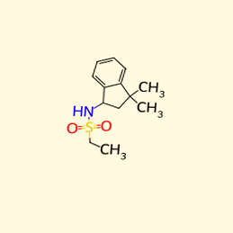 CCS(=O)(=O)NC1CC(C)(C)c2ccccc21